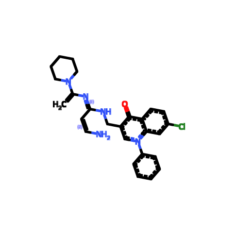 C=C(/N=C(\C=C/N)NCc1cn(-c2ccccc2)c2cc(Cl)ccc2c1=O)N1CCCCC1